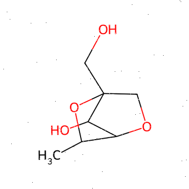 CC1OC2(CO)COC1C2O